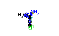 CN1CCN(c2cc(N3CCN(c4ccc(Cl)c(Cl)c4)CC3)c(F)cc2/C=N/NC(N)=S)CC1